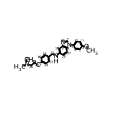 COc1ccc(-n2cnc3cc(NCc4ccc(OCCN(C)C)cc4)ccc32)cc1